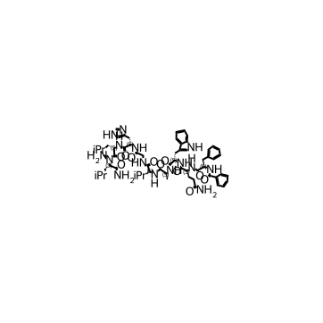 CC(C)C[C@H](NC(=O)[C@H](Cc1c[nH]cn1)NC(=O)CNC(=O)[C@@H](NC(=O)[C@H](C)NC(=O)[C@H](Cc1c[nH]c2ccccc12)NC(=O)[C@H](CCC(N)=O)NC(=O)[C@@H](Cc1ccccc1)NC(=O)c1ccccc1)C(C)C)C(=O)N(N)[C@@H](CC(C)C)C(N)=O